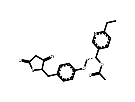 CCc1ccc([C@@H](COc2ccc(CC3SC(=O)CC3=O)cc2)OC(C)=O)cn1